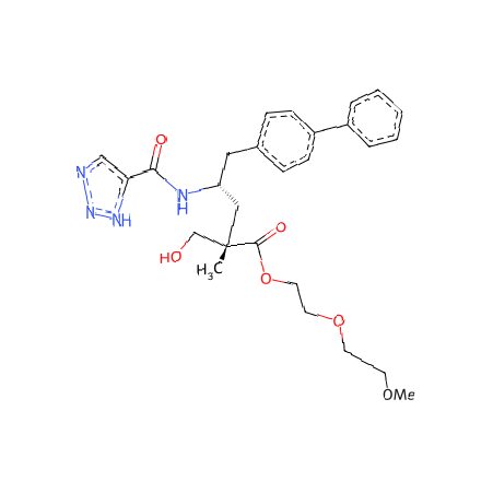 COCCOCCOC(=O)[C@](C)(CO)C[C@@H](Cc1ccc(-c2ccccc2)cc1)NC(=O)c1cnn[nH]1